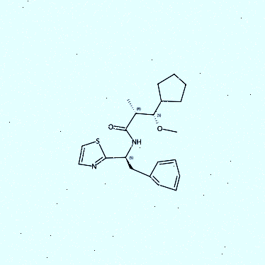 CO[C@@H](C1CCCC1)[C@@H](C)C(=O)N[C@@H](Cc1ccccc1)c1nccs1